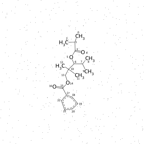 CC(C)C(=O)OC(C(C)C)C(C)(C)COC(=O)c1ccccc1